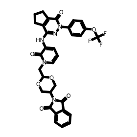 O=C1c2ccccc2C(=O)N1C1COC(Cn2cccc(Nc3nn(-c4ccc(OC(F)(F)F)cc4)c(=O)c4c3CCC4)c2=O)OC1